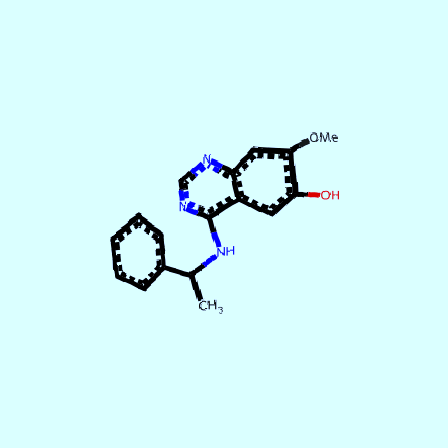 COc1cc2ncnc(NC(C)c3ccccc3)c2cc1O